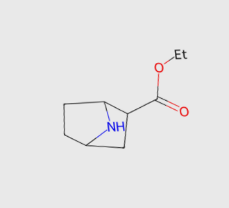 CCOC(=O)C1CC2CCC1N2